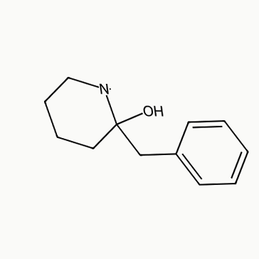 OC1(Cc2ccccc2)CCCC[N]1